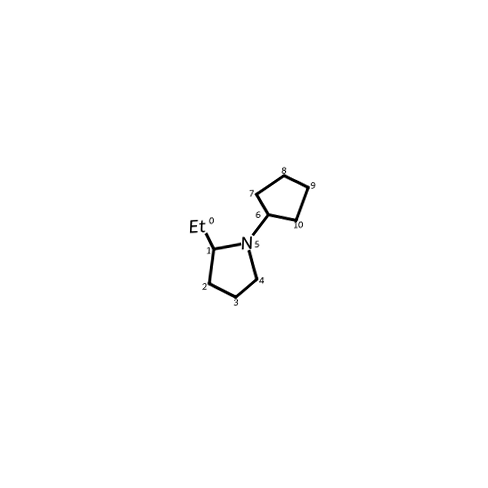 CCC1CCCN1C1CCCC1